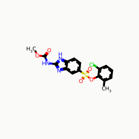 COC(=O)Nc1nc2cc(S(=O)(=O)Oc3c(C)cccc3Cl)ccc2[nH]1